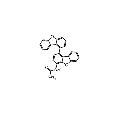 CC(=O)Nc1ccc(-c2cccc3oc4ccccc4c23)c2c1oc1ccccc12